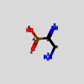 N=C(CN)S(=O)O